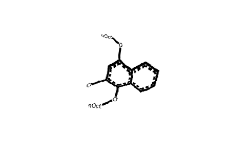 CCCCCCCCOc1cc(Cl)c(OCCCCCCCC)c2ccccc12